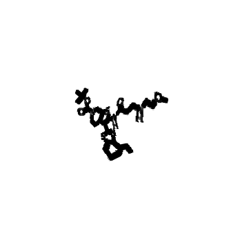 C=Cc1cccc2sc(-c3c(NC(=O)CCNCCOC)sc4c3CCN(C(=O)OC(C)(C)C)C4)nc12